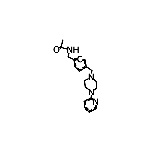 CC(=O)NCc1ccc(CN2CCN(c3ccccn3)CC2)cc1